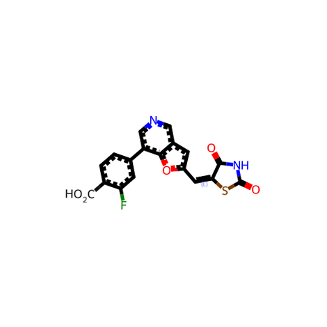 O=C1NC(=O)/C(=C\c2cc3cncc(-c4ccc(C(=O)O)c(F)c4)c3o2)S1